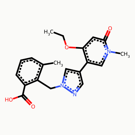 CCOc1cc(=O)n(C)cc1-c1cnn(Cc2c(C)cccc2C(=O)O)c1